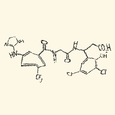 O=C(O)CC(NC(=O)CNC(=O)c1cc(NC2=NCCN2)cc(C(F)(F)F)c1)c1cc(Cl)cc(Cl)c1O